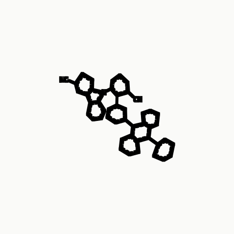 N#Cc1ccc2c(c1)c1ccccc1n2-c1cccc(C#N)c1-c1cccc(-c2c3ccccc3c(-c3ccccc3)c3ccccc23)c1